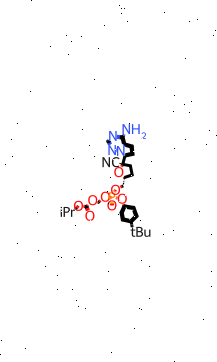 CC(C)OC(=O)OCOP(=O)(OC[C@H]1CC[C@](C#N)(c2ccc3c(N)ncnn23)O1)Oc1ccc(C(C)(C)C)cc1